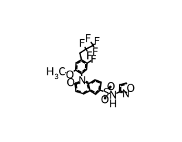 COc1cc(CC(F)(F)C(F)(F)F)c(F)cc1-n1c(=O)ccc2cc(S(=O)(=O)Nc3ccon3)ccc21